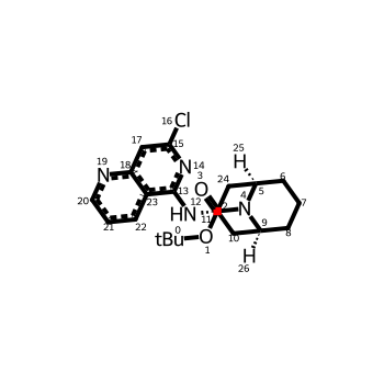 CC(C)(C)OC(=O)N1[C@@H]2CCC[C@H]1C[C@H](Nc1nc(Cl)cc3ncccc13)C2